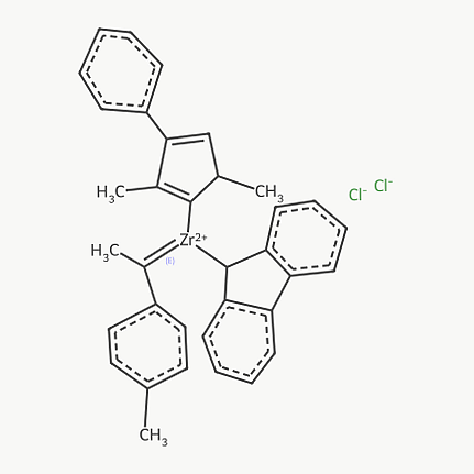 CC1=[C](/[Zr+2](=[C](\C)c2ccc(C)cc2)[CH]2c3ccccc3-c3ccccc32)C(C)C=C1c1ccccc1.[Cl-].[Cl-]